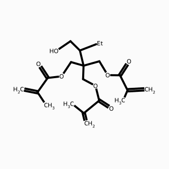 C=C(C)C(=O)OCC(COC(=O)C(=C)C)(COC(=O)C(=C)C)C(CC)CO